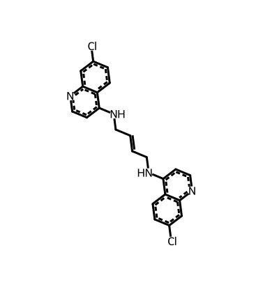 Clc1ccc2c(NCC=CCNc3ccnc4cc(Cl)ccc34)ccnc2c1